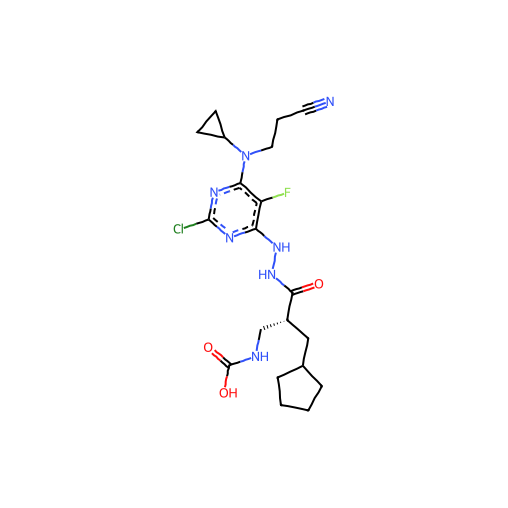 N#CCCN(c1nc(Cl)nc(NNC(=O)[C@@H](CNC(=O)O)CC2CCCC2)c1F)C1CC1